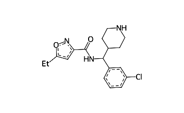 CCc1cc(C(=O)NC(c2cccc(Cl)c2)C2CCNCC2)no1